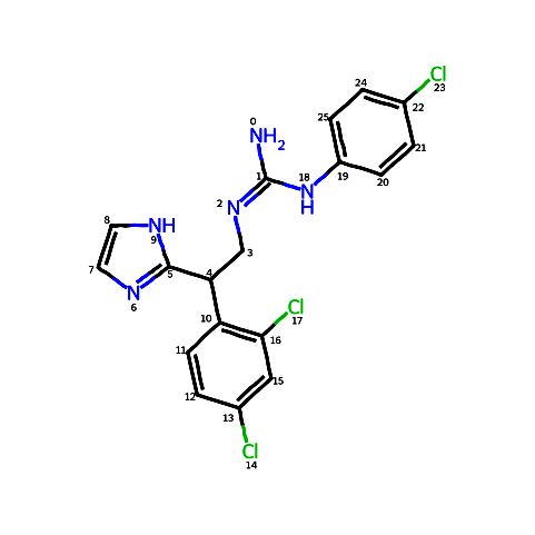 NC(=NCC(c1ncc[nH]1)c1ccc(Cl)cc1Cl)Nc1ccc(Cl)cc1